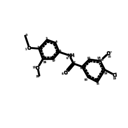 COc1ccc(NC(=O)c2ccc(Cl)[n+]([O-])c2)cc1OC